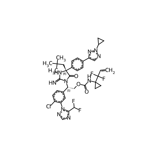 C=CC(F)(F)C1(NC(=O)OC[C@H](c2ccc(Cl)c(-n3ncnc3C(F)F)c2)N2C(=N)N[C@](CC(C)(C)C)(c3ccc(-c4cnn(C5CC5)n4)cc3)C2=O)CC1